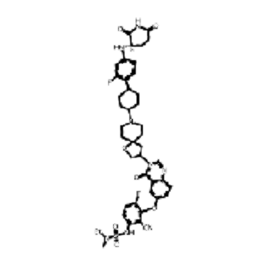 CCN(C)S(=O)(=O)Nc1ccc(F)c(Oc2ccc3ncn(C4COC5(CCN(C6CCC(c7ccc(N[C@H]8CCC(=O)NC8=O)cc7F)CC6)CC5)C4)c(=O)c3c2)c1C#N